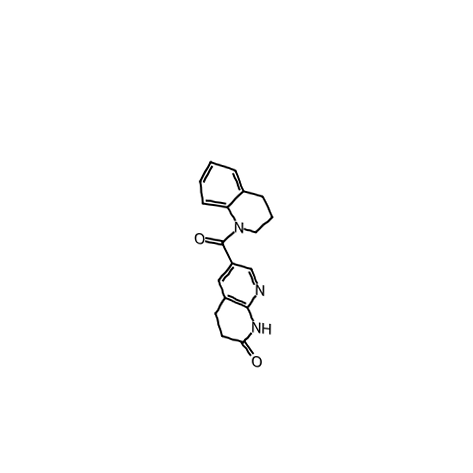 O=C1CCc2cc(C(=O)N3CCCc4ccccc43)cnc2N1